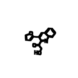 O=C(CO)c1nc2ccccc2cc1-c1ccco1